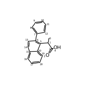 CC(C(=O)O)c1c(-c2ccccc2)ccc2ccccc12